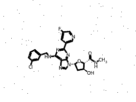 CNC(=O)[C@H]1O[C@@H](n2cnc3c(NCc4cccc(Cl)c4)nc(-c4cncc(F)c4)nc32)C[C@@H]1O